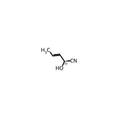 CC=C[C@H](O)C#N